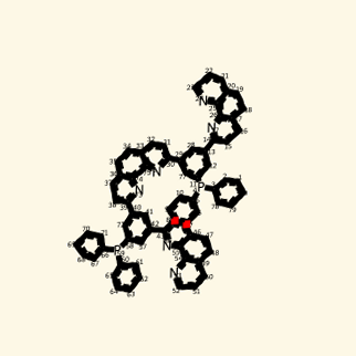 c1ccc(P(c2ccccc2)c2cc(-c3ccc4ccc5cccnc5c4n3)cc(-c3ccc4ccc5ccc(-c6cc(-c7ccc8ccc9cccnc9c8n7)cc(P(c7ccccc7)c7ccccc7)c6)nc5c4n3)c2)cc1